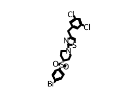 O=S(=O)(c1ccc(Br)cc1)C1CCN(c2nc(Cc3cc(Cl)cc(Cl)c3)cs2)CC1